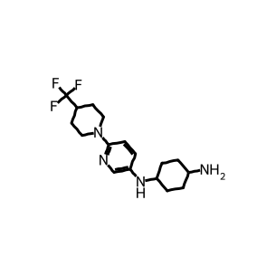 NC1CCC(Nc2ccc(N3CCC(C(F)(F)F)CC3)nc2)CC1